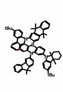 Cc1cc2c3c(c1)N(c1ccc(C(C)(C)C)cc1-c1ccccc1)c1cc4c(cc1B3c1ccc(N3c5ccc(C(C)(C)C)cc5C5(C)CCCCC35C)cc1N2c1ccc2c(c1)-c1ccccc1C2(C)C)C(C)(C)c1ccccc1C4(C)C